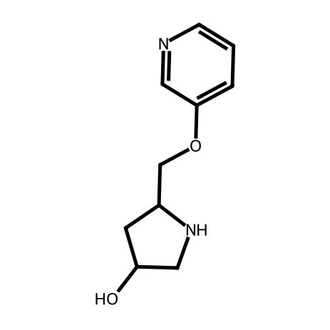 OC1CNC(COc2cccnc2)C1